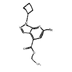 CCOC(=O)c1cc(Br)nc2c1cnn2C1CCC1